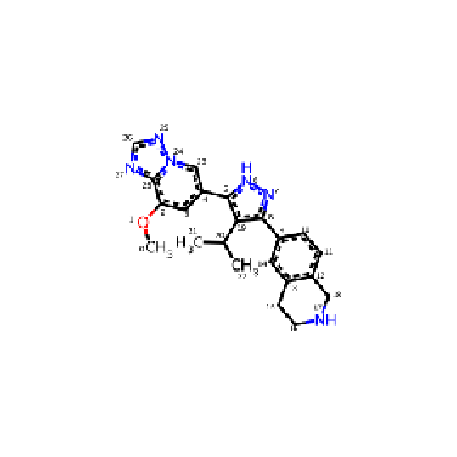 COc1cc(-c2[nH]nc(-c3ccc4c(c3)CCNC4)c2C(C)C)cn2ncnc12